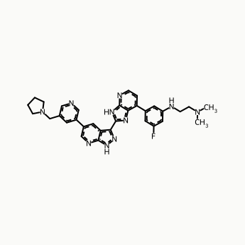 CN(C)CCNc1cc(F)cc(-c2ccnc3[nH]c(-c4n[nH]c5ncc(-c6cncc(CN7CCCC7)c6)cc45)nc23)c1